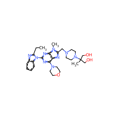 CCc1nc2ccccc2n1-c1nc(N2CCOCC2)c2nc(CN3CCN(C(C)(CO)CO)CC3)n(C)c2n1